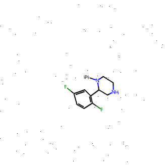 CC(C)N1CCNCC1c1cc(F)ccc1F